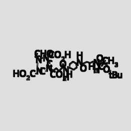 CC(C)(C)COCC(C)(C)C(=O)NCCCC(=O)NC1CCC(NC(=O)CCC(C(=O)O)N2CCN(CC(=O)O)CCN(CC=O)CN(CC(=O)O)CC2)CC1